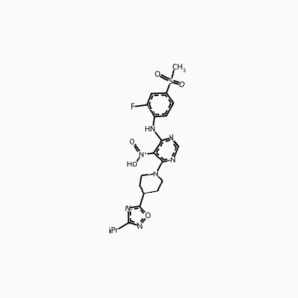 CC(C)c1noc(C2CCN(c3ncnc(Nc4ccc(S(C)(=O)=O)cc4F)c3[N+](=O)O)CC2)n1